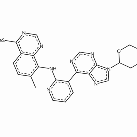 CSc1ncnc2c(Nc3ncccc3-c3ncnc4c3ncn4C3CCCCO3)c(C)ccc12